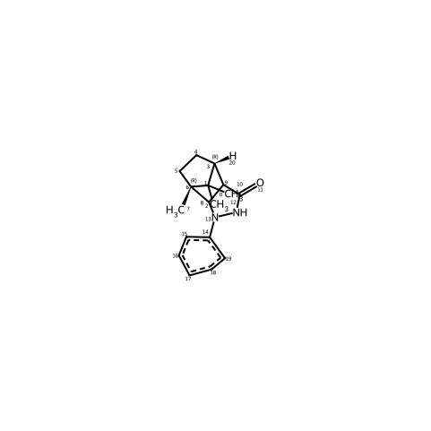 CC1(C)[C@@H]2CC[C@@]1(C)C1C2C(=O)NN1c1ccccc1